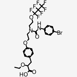 CCOC(Cc1ccc(OCCN(CCOC(F)(F)C(F)(F)C(F)(F)F)C(=O)Nc2ccc(Br)cc2)cc1)C(=O)O